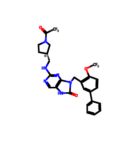 O=C(N1CC[C@@H](CNc2ncc3[nH]c(=O)n(Cc4cc(-c5ccccc5)ccc4OC(F)(F)F)c3n2)C1)C(F)(F)F